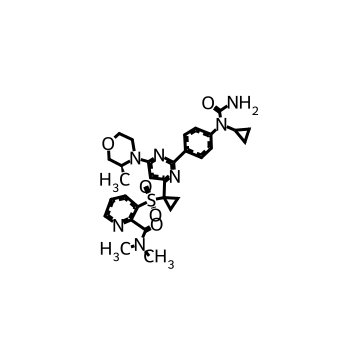 C[C@H]1COCCN1c1cc(C2(S(=O)(=O)c3cccnc3C(=O)N(C)C)CC2)nc(-c2ccc(N(C(N)=O)C3CC3)cc2)n1